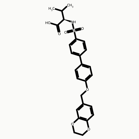 CC(C)[C@@H](NS(=O)(=O)c1ccc(-c2ccc(OCc3ccc4c(c3)OCCO4)cc2)cc1)C(=O)O